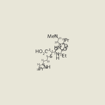 CCC(NC(=O)C(CC(=O)O)SCCCC(=N)CC(C)C)C(=O)NC(CCNC)C(=O)C(C)C